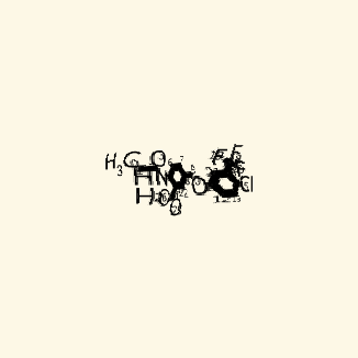 CCC(=O)Nc1ccc(COc2ccc(Cl)c(C(F)(F)F)c2)cc1C(=O)O